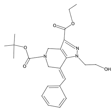 CCOC(=O)c1nn(CCO)c2c1CN(C(=O)OC(C)(C)C)C/C2=C\c1ccccc1